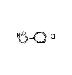 Clc1ccc(-c2ccno2)cc1